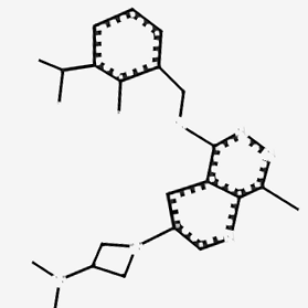 Cc1nnc(NCc2cccc(C(F)F)c2F)c2cc(N3CC(N(C)C)C3)cnc12